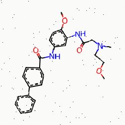 COCCN(C)CC(=O)Nc1cc(NC(=O)c2ccc(-c3ccccc3)cc2)ccc1OC